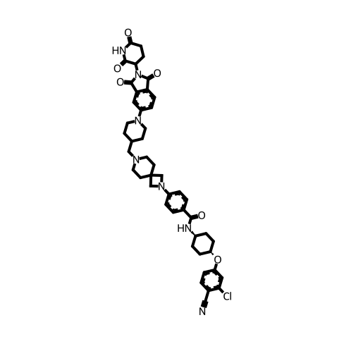 N#Cc1ccc(O[C@H]2CC[C@H](NC(=O)c3ccc(N4CC5(CCN(CC6CCN(c7ccc8c(c7)C(=O)N(C7CCC(=O)NC7=O)C8=O)CC6)CC5)C4)cc3)CC2)cc1Cl